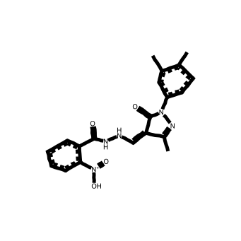 CC1=NN(c2ccc(C)c(C)c2)C(=O)/C1=C\NNC(=O)c1ccccc1[N+](=O)O